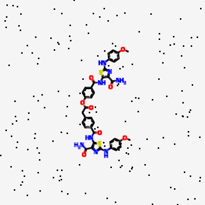 COc1ccc(Nc2nc(C(N)=O)c(NC(=O)c3ccc(CC(=O)Oc4ccc(C(=O)Nc5sc(Nc6ccc(OC)cc6)nc5C(N)=O)cc4)cc3)s2)cc1